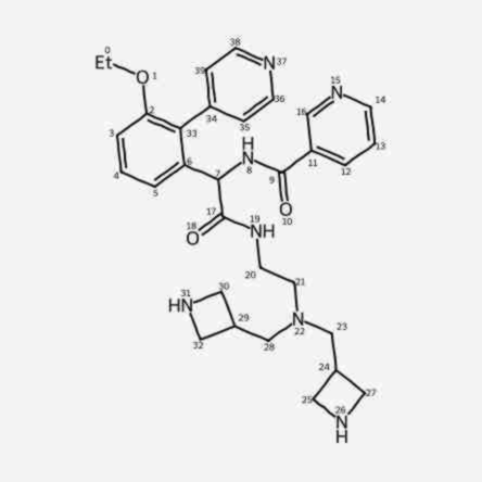 CCOc1cccc(C(NC(=O)c2cccnc2)C(=O)NCCN(CC2CNC2)CC2CNC2)c1-c1ccncc1